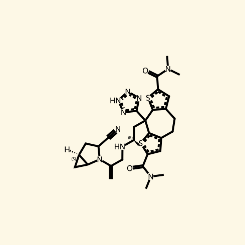 C=C(CN[C@H](C)CC1(c2nn[nH]n2)c2sc(C(=O)N(C)C)cc2CCc2cc(C(=O)N(C)C)sc21)N1C(C#N)C[C@@H]2CC21